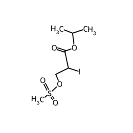 CC(C)OC(=O)C(I)COS(C)(=O)=O